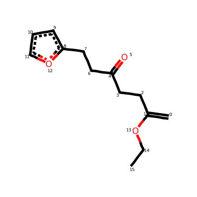 C=C(CCC(=O)CCc1ccco1)OCC